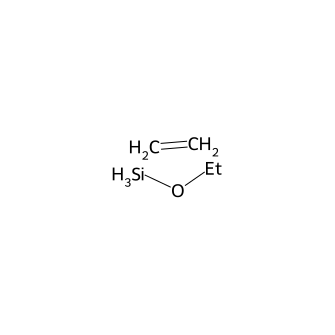 C=C.CCO[SiH3]